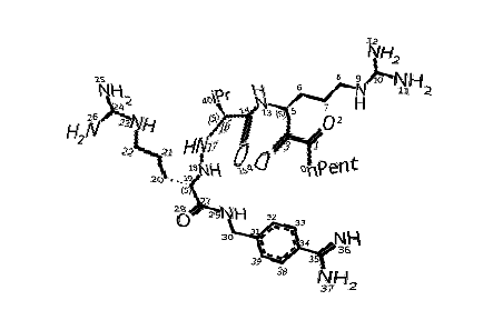 CCCCCC(=O)C(=O)[C@H](CCCNC(N)N)NC(=O)[C@@H](NN[C@@H](CCCNC(N)N)C(=O)NCc1ccc(C(=N)N)cc1)C(C)C